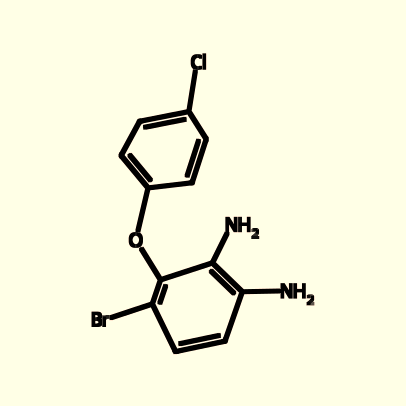 Nc1ccc(Br)c(Oc2ccc(Cl)cc2)c1N